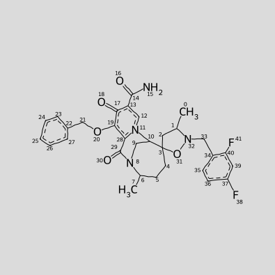 CC1CC2(CCC(C)N3CC2n2cc(C(N)=O)c(=O)c(OCc4ccccc4)c2C3=O)ON1Cc1ccc(F)cc1F